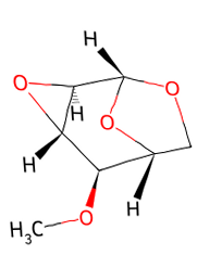 CO[C@H]1[C@@H]2O[C@H]2[C@@H]2OC[C@H]1O2